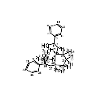 [2H]C([2H])([2H])N1[C@]([2H])(CC(O)c2ccccc2)C([2H])([2H])C([2H])([2H])C([2H])([2H])[C@]1([2H])CC(=O)c1ccccc1